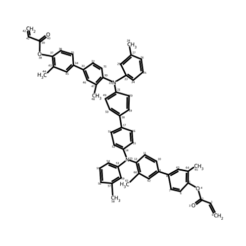 C=CC(=O)Oc1ccc(-c2ccc(N(c3ccc(-c4ccc(N(c5cccc(C)c5)c5ccc(-c6ccc(OC(=O)C=C)c(C)c6)cc5C)cc4)cc3)c3cccc(C)c3)c(C)c2)cc1C